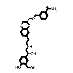 NC(=O)c1cccc(COC[C@@H]2COc3ccc(CCNC[C@H](O)c4ccc(O)c(CO)c4)cc3O2)c1